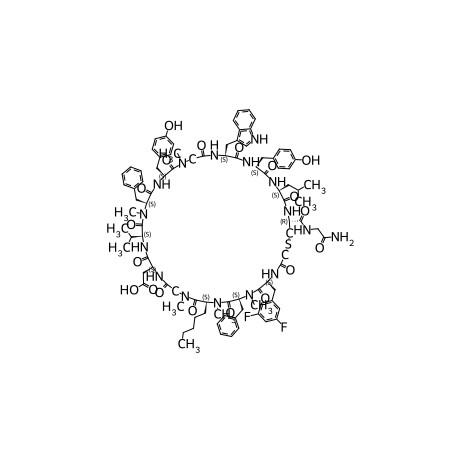 CCCCC[C@H]1C(=O)N(C)CC(=O)N[C@@H](CC(=O)O)C(=O)N[C@@H](C(C)C)C(=O)N(C)[C@@H](Cc2ccccc2)C(=O)N[C@@H](Cc2ccc(O)cc2)C(=O)N(C)CC(=O)N[C@@H](Cc2c[nH]c3ccccc23)C(=O)N[C@@H](Cc2ccc(O)cc2)C(=O)N[C@@H](CC(C)C)C(=O)N[C@H](C(=O)NCC(N)=O)CSCC(=O)N[C@@H](Cc2cc(F)cc(F)c2)C(=O)N(C)[C@@H](Cc2ccccc2)C(=O)N1C